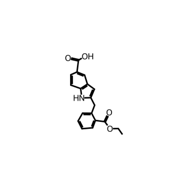 CCOC(=O)c1ccccc1Cc1cc2cc(C(=O)O)ccc2[nH]1